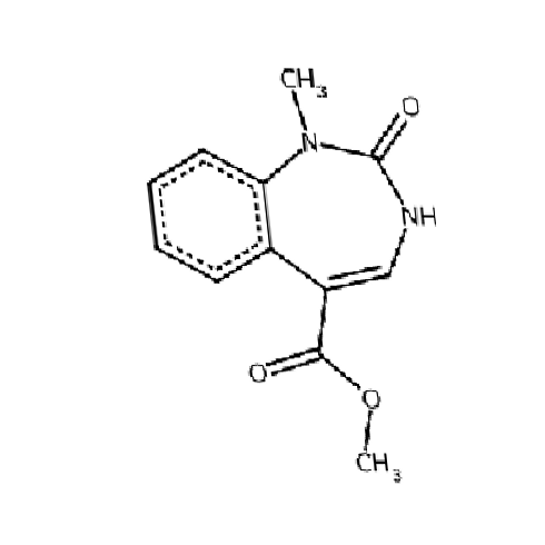 COC(=O)C1=CNC(=O)N(C)c2ccccc21